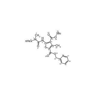 CCCCCCN(C)C(=O)Nc1sc(C(=O)OCc2ccccc2)c(C)c1C(=O)OC(C)(C)C